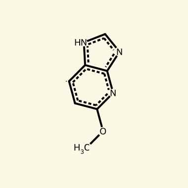 COc1c[c]c2[nH]cnc2n1